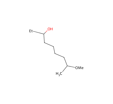 CCC(O)CCCCC(C)OC